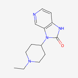 CCN1CCC(n2c(=O)[nH]c3ccncc32)CC1